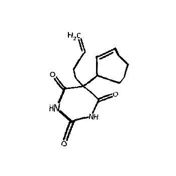 C=CCC1(C2C=CCC2)C(=O)NC(=O)NC1=O